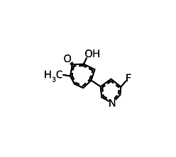 Cc1ccc(-c2cncc(F)c2)cc(O)c1=O